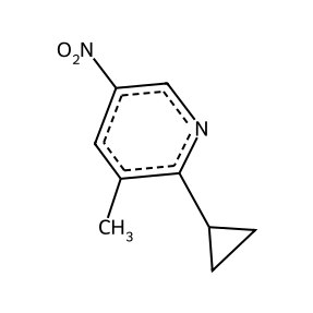 Cc1cc([N+](=O)[O-])cnc1C1CC1